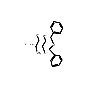 CCC[O-].CCC[O-].[K+].[Na+].c1ccc(COCc2ccccc2)cc1